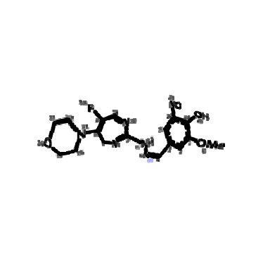 COc1cc(/C=N\NC2=NCC(N3CCOCC3)=C(F)C=N2)cc(N=O)c1O